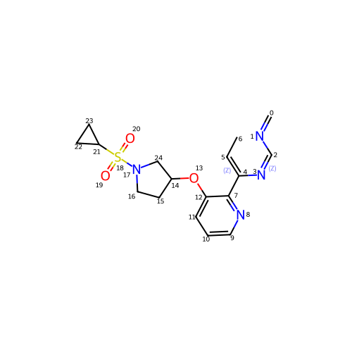 C=N/C=N\C(=C/C)c1ncccc1OC1CCN(S(=O)(=O)C2CC2)C1